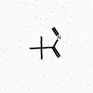 C=NC(=C)C(C)(C)C